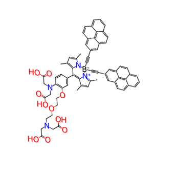 CC1=CC(C)=[N+]2C1=C(c1ccc(N(CC(=O)O)CC(=O)O)c(OCCOCCN(CC(=O)O)CC(=O)O)c1)c1c(C)cc(C)n1[B-]2(C#Cc1cc2ccc3cccc4ccc(c1)c2c34)C#Cc1cc2ccc3cccc4ccc(c1)c2c34